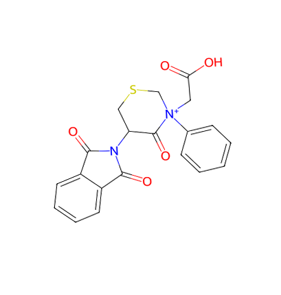 O=C(O)C[N+]1(c2ccccc2)CSCC(N2C(=O)c3ccccc3C2=O)C1=O